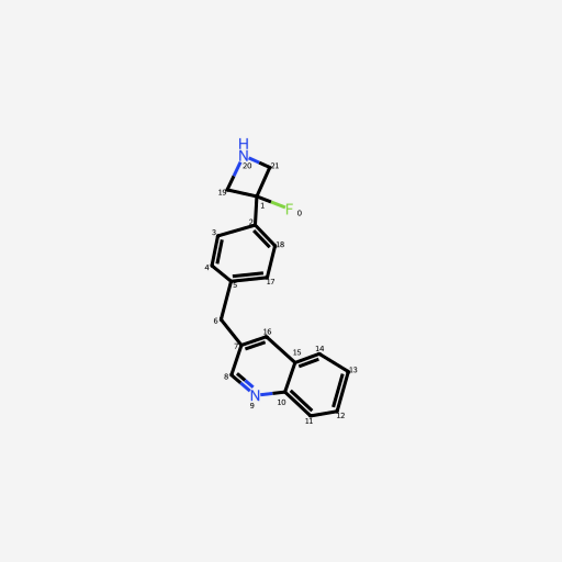 FC1(c2ccc(Cc3cnc4ccccc4c3)cc2)CNC1